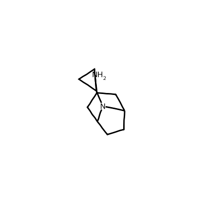 NC1CC2CCC(C1)N2C1CC1